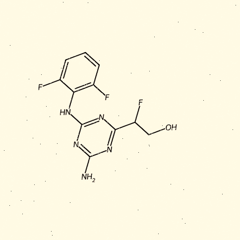 Nc1nc(Nc2c(F)cccc2F)nc(C(F)CO)n1